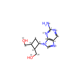 Nc1ncc2ncn(C3CC(CO)C3CO)c2n1